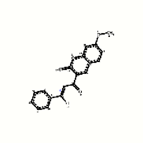 COc1ccc2cc(C(=O)/C=C(\Cl)c3ccccc3)c(=O)oc2c1